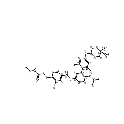 CCOC(=O)CCc1ccc(NCc2ccc(OC(C)C)c(-c3c(C)cc(OC4CCS(O)(O)CC4)cc3C)c2)cc1F